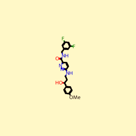 COc1ccc(C(O)CCNc2ccc(C(=O)NCc3cc(F)cc(F)c3)nn2)cc1